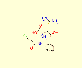 NC(CC(=O)O)C(=O)O.NC(N)=S.O=C(CCCl)NCc1ccccc1